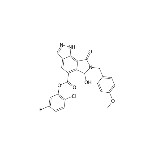 COc1ccc(CN2C(=O)c3c(c(C(=O)Oc4cc(F)ccc4Cl)cc4cn[nH]c34)C2O)cc1